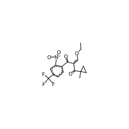 CCO/C=C(\C(=O)c1ccc(C(F)(F)F)cc1[N+](=O)[O-])C(=O)C1(C)CC1